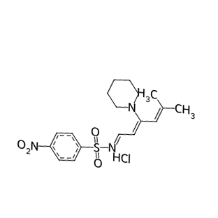 CC(C)=CC(=CC=NS(=O)(=O)c1ccc([N+](=O)[O-])cc1)N1CCCCC1.Cl